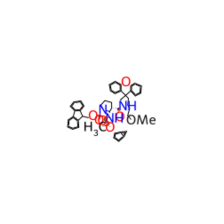 COCCCCC1(CNC(=O)[C@H]2CCCN(C(=O)OCC3c4ccccc4-c4ccccc43)C2NS(C)(=O)=O)c2ccccc2Oc2ccccc21.c1cc2cc-2c1